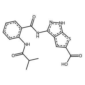 CC(C)C(=O)Nc1ccccc1C(=O)Nc1n[nH]c2sc(C(=O)O)cc12